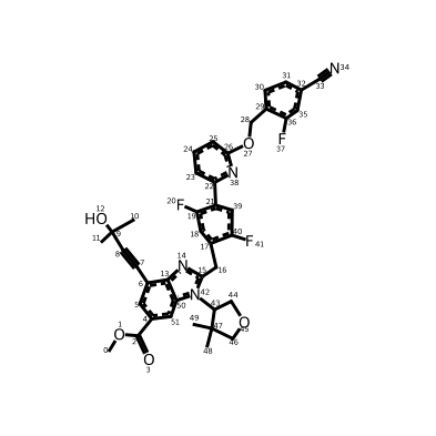 COC(=O)c1cc(C#CC(C)(C)O)c2nc(Cc3cc(F)c(-c4cccc(OCc5ccc(C#N)cc5F)n4)cc3F)n(C3COCC3(C)C)c2c1